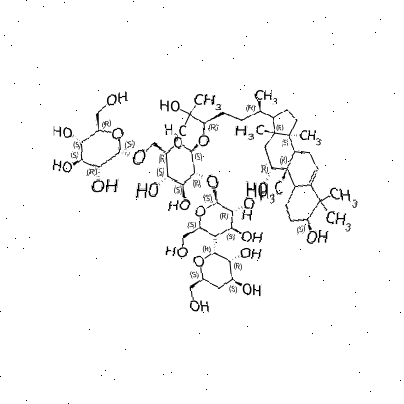 C[C@H](CC[C@@H](O[C@@H]1O[C@H](CO[C@H]2O[C@H](CO)[C@@H](O)[C@H](O)[C@H]2O)[C@@H](O)[C@H](O)[C@H]1O[C@@H]1O[C@H](CO)C([C@H]2O[C@H](CO)C[C@H](O)[C@H]2O)[C@H](O)[C@H]1O)C(C)(C)O)C1CC[C@@]2(C)C3CC=C4C(CC[C@H](O)C4(C)C)[C@]3(C)[C@H](O)C[C@]12C